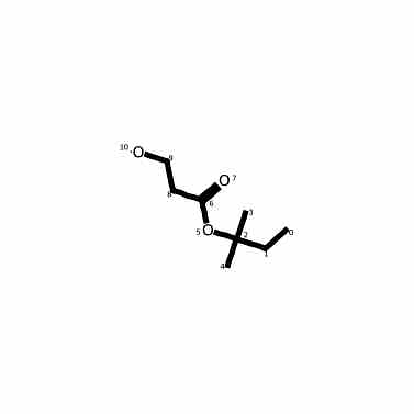 CCC(C)(C)OC(=O)CC[O]